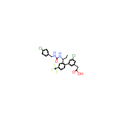 CCC(NC(=O)NCc1ccc(Cl)cc1)c1cc(C(F)(F)F)ccc1-c1cc(Cl)cc(CC(=O)O)c1